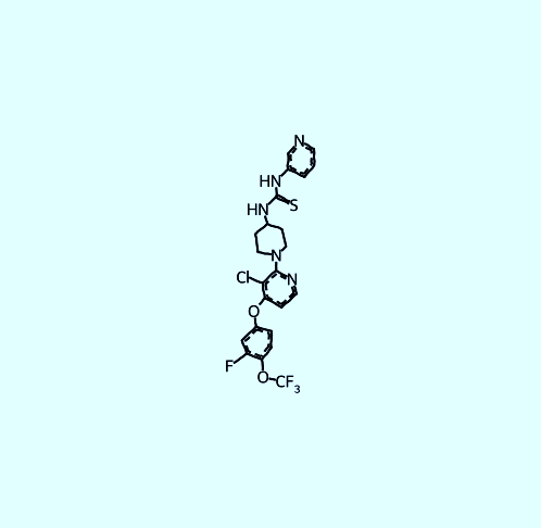 Fc1cc(Oc2ccnc(N3CCC(NC(=S)Nc4cccnc4)CC3)c2Cl)ccc1OC(F)(F)F